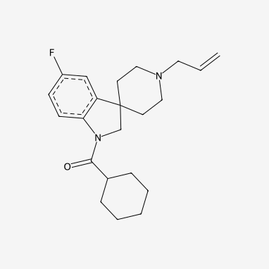 C=CCN1CCC2(CC1)CN(C(=O)C1CCCCC1)c1ccc(F)cc12